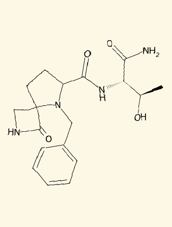 C[C@@H](O)[C@H](NC(=O)C1CCC2(CNC2=O)N1Cc1ccccc1)C(N)=O